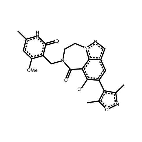 COc1cc(C)[nH]c(=O)c1CN1CCn2ncc3cc(-c4c(C)noc4C)c(Cl)c(c32)C1=O